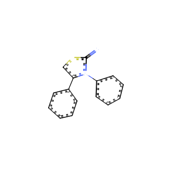 Cl.N=c1scc(-c2ccccc2)n1-c1ccccc1